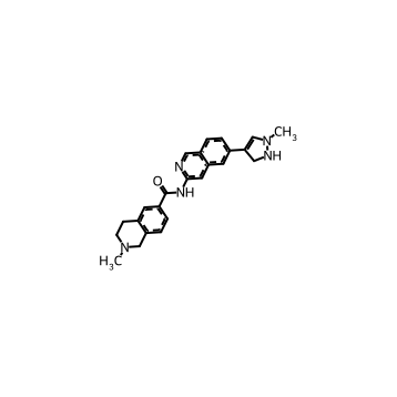 CN1CCc2cc(C(=O)Nc3cc4cc(C5=CN(C)NC5)ccc4cn3)ccc2C1